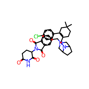 CC1(C)CCC(CN2C3CCC2CN(Cc2ccc4c(c2)C(=O)N(C2CCC(=O)NC2=O)C4=O)C3)=C(c2ccc(Cl)cc2)C1